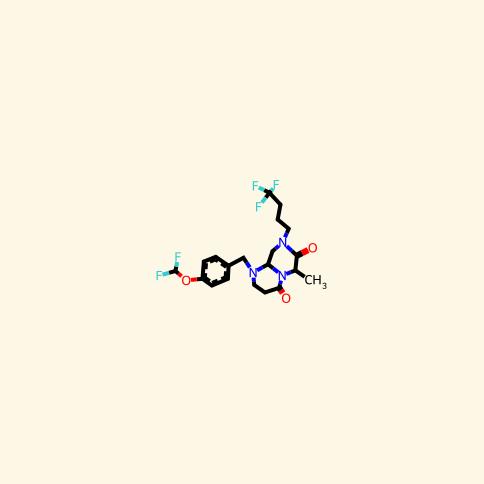 CC1C(=O)N(CCCC(F)(F)F)CC2N(Cc3ccc(OC(F)F)cc3)CCC(=O)N12